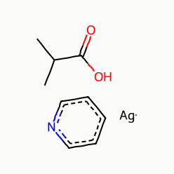 CC(C)C(=O)O.[Ag].c1ccncc1